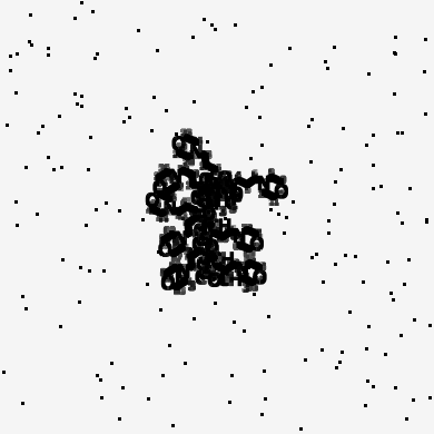 CO[Si](C)(CCCN1CCOCC1)O[Si](C)(CCCN1CCOCC1)O[Si](C)(CCCN1CCOCC1)O[Si](C)(CCCN1CCOCC1)O[Si](C)(CCCN1CCOCC1)O[Si](C)(CCCN1CCOCC1)O[Si](C)(CCCN1CCOCC1)O[Si](C)(CCCN1CCOCC1)OC